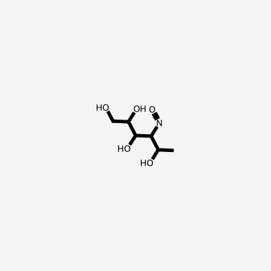 CC(O)C(N=O)C(O)C(O)CO